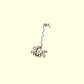 NCCCCCCCCCCC(O)(P(=O)(O)O)P(=O)(O)O